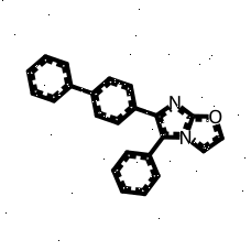 c1ccc(-c2ccc(-c3nc4occn4c3-c3ccccc3)cc2)cc1